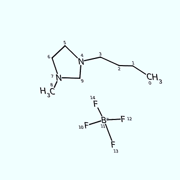 CCCCN1CCN(C)C1.F[B-](F)(F)F